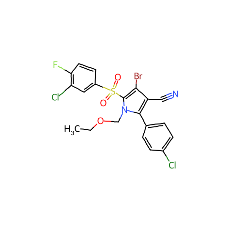 CCOCn1c(-c2ccc(Cl)cc2)c(C#N)c(Br)c1S(=O)(=O)c1ccc(F)c(Cl)c1